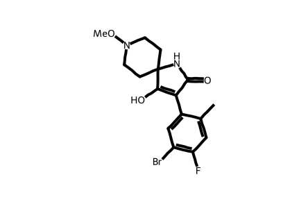 CON1CCC2(CC1)NC(=O)C(c1cc(Br)c(F)cc1C)=C2O